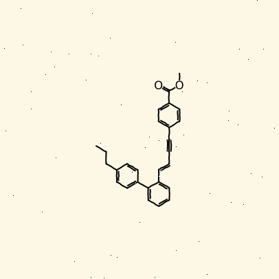 CCCc1ccc(-c2ccccc2/C=C/C#Cc2ccc(C(=O)OC)cc2)cc1